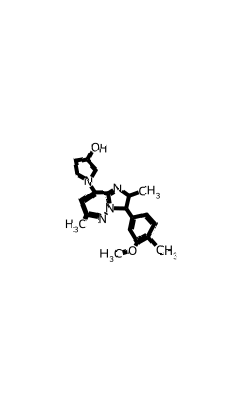 COc1cc(C2C(C)N=C3C(N4CCC(O)C4)=CC(C)=NN32)ccc1C